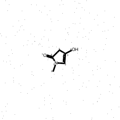 CN1C=C(O)CC1=O